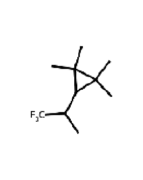 CC(C1C(C)(C)C1(C)C)C(F)(F)F